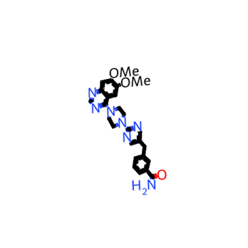 COc1cc2ncnc(N3CCN(c4ncc(Cc5cccc(C(N)=O)c5)cn4)CC3)c2cc1OC